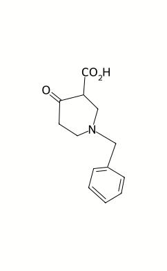 O=C(O)C1CN(Cc2ccccc2)CCC1=O